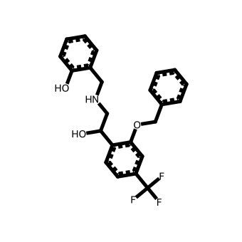 Oc1ccccc1CNCC(O)c1ccc(C(F)(F)F)cc1OCc1ccccc1